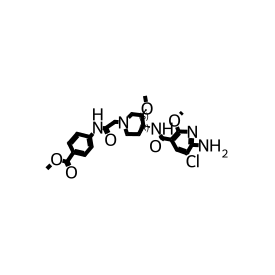 COC(=O)c1ccc(NC(=O)CN2CC[C@@H](NC(=O)c3cc(Cl)c(N)nc3OC)[C@@H](OC)C2)cc1